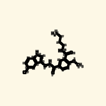 COc1ccc(C(=O)NOc2n[nH]c3ccc(Cl)cc23)cc1C(=O)NCCCN